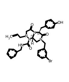 C=CCN1CC(=O)N2[C@@H](Cc3ccc(O)cc3)C(=O)N(Cc3cccc(Br)c3)C[C@@H]2N1C(=O)NCc1ccccc1